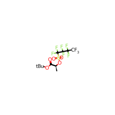 C[C@H](OS(=O)(=O)C(F)(F)C(F)(F)C(F)(F)C(F)(F)F)C(=O)OC(C)(C)C